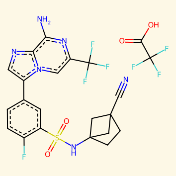 N#CC12CCC(NS(=O)(=O)c3cc(-c4cnc5c(N)nc(C(F)(F)F)cn45)ccc3F)(C1)C2.O=C(O)C(F)(F)F